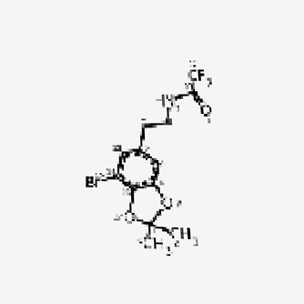 CC1(C)Oc2cc(CCNC(=O)C(F)(F)F)cc(Br)c2O1